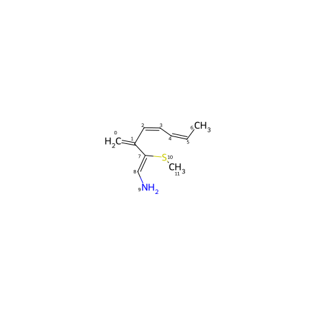 C=C(/C=C\C=C/C)/C(=C/N)SC